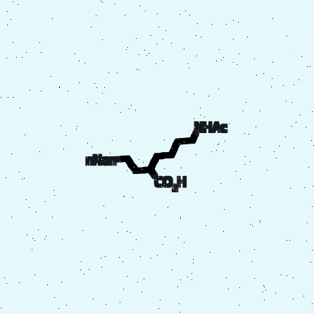 CCCCCCCCCCCC(CCCCNC(C)=O)C(=O)O